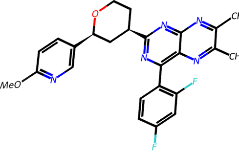 COc1ccc([C@@H]2C[C@H](c3nc(-c4ccc(F)cc4F)c4nc(C)c(C)nc4n3)CCO2)cn1